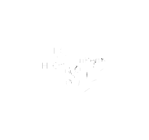 C=CCS(CC=C)(CCCCC)OS(=O)(=O)c1cccc2cc3ccccc3cc12